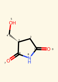 O=C1C[C@@H](CO)C(=O)N1